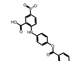 O=C(Oc1ccc(Nc2ccc([N+](=O)[O-])cc2C(=O)O)cc1)c1ccccc1